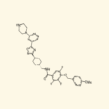 COc1ccc(COc2c(F)cc(C(=O)NC[C@H]3CC[C@H](c4noc(-c5ccnc(N6CCNCC6)n5)n4)CC3)c(F)c2F)cc1